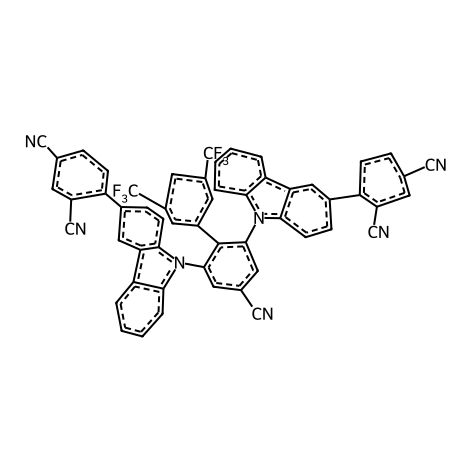 N#Cc1ccc(-c2ccc3c(c2)c2ccccc2n3-c2cc(C#N)cc(-n3c4ccccc4c4cc(-c5ccc(C#N)cc5C#N)ccc43)c2-c2cc(C(F)(F)F)cc(C(F)(F)F)c2)c(C#N)c1